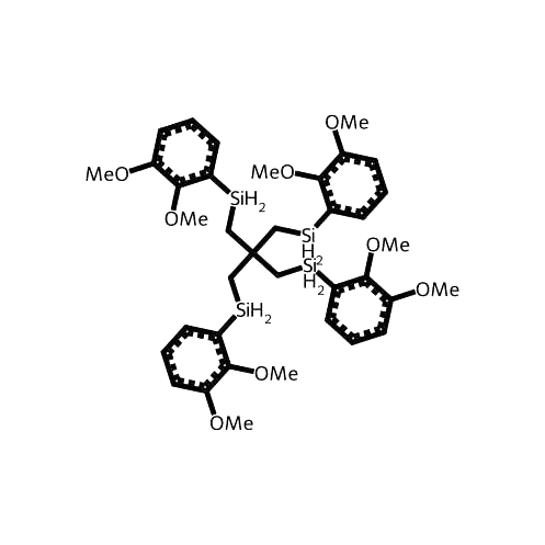 COc1cccc([SiH2]CC(C[SiH2]c2cccc(OC)c2OC)(C[SiH2]c2cccc(OC)c2OC)C[SiH2]c2cccc(OC)c2OC)c1OC